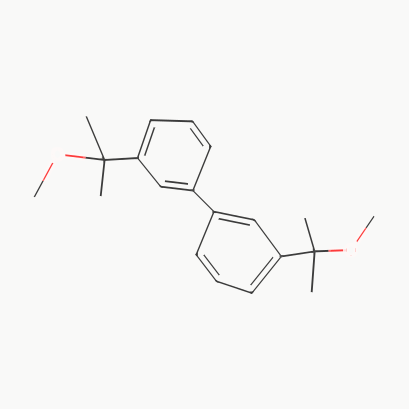 COC(C)(C)c1cccc(-c2cccc(C(C)(C)OC)c2)c1